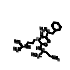 N=C(N)NCCC[C@H](NC(=O)[C@@H](N)Cc1ccccc1)C(=O)N[C@@H](CCN)C(=O)O